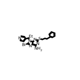 CCC(c1ccncc1)n1c(Br)nc2c(N)nc(SCCCc3ccccc3)nc21